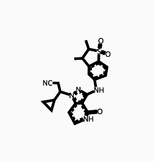 CC1c2cc(Nc3nn(C(CC#N)C4CC4)c4cc[nH]c(=O)c34)ccc2S(=O)(=O)C1C